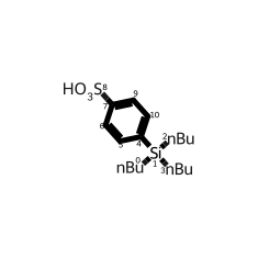 CCCC[Si](CCCC)(CCCC)c1ccc(S(=O)(=O)O)cc1